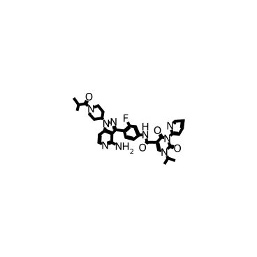 CC(C)C(=O)N1CCC(n2nc(-c3ccc(NC(=O)c4cn(C(C)C)c(=O)n(-c5ccccn5)c4=O)cc3F)c3c(N)nccc32)CC1